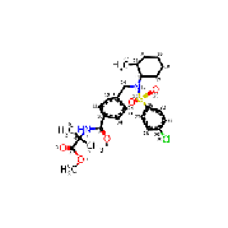 COC(=O)C(C)(C)NC(=O)c1ccc(CN(C2CCCCC2C)S(=O)(=O)c2ccc(Cl)cc2)cc1